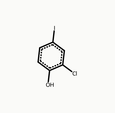 Oc1ccc(I)cc1Cl